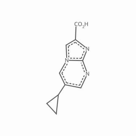 O=C(O)c1cn2cc(C3CC3)cnc2n1